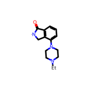 CCN1CCN(c2cccc3c2C[N]C3=O)CC1